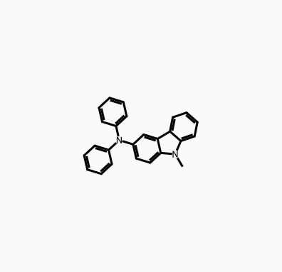 Cn1c2ccccc2c2cc(N(c3ccccc3)c3ccccc3)ccc21